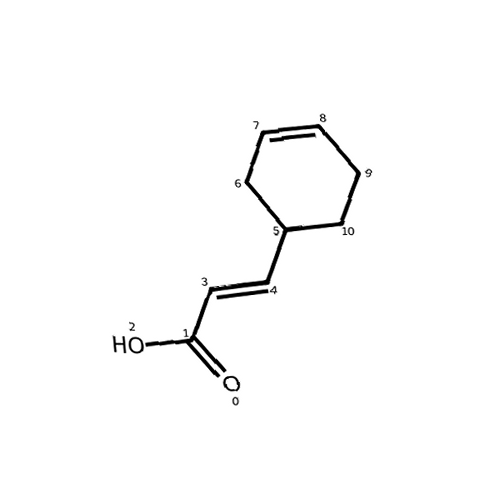 O=C(O)C=CC1CC=CCC1